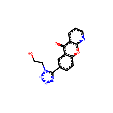 O=c1c2cc(-c3nnnn3CCO)ccc2oc2ncccc12